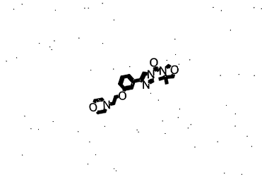 CC1(C)COCN1C(=O)n1cnc(-c2cccc(OCCN3CCOCC3)c2)c1